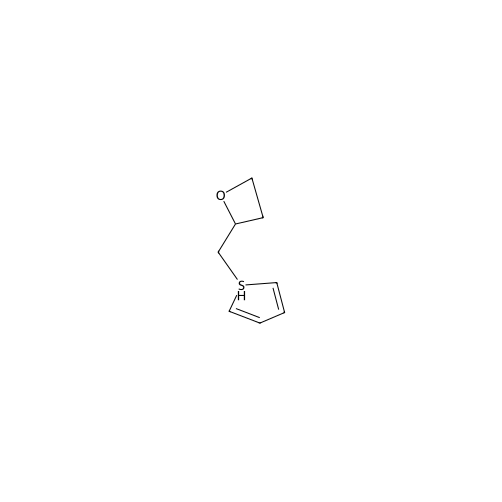 C1=C[SH](CC2CCO2)C=C1